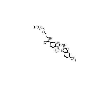 Cn1c(Nc2nc3ccc(C(F)(F)F)cc3o2)nc2cc(C(=O)NCCOCC(=O)O)ccc21